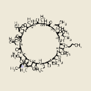 C/C=C/C[C@@H](C)[C@@H](O)[C@H]1C(=O)N[C@@H](CC)C(=O)N(C)[C@H](C)C(=O)N(C)[C@@H]([C@@H](C)OCCC)C(=O)N[C@@H](C(C)C)C(=O)N(C)[C@@H](CC(C)C)C(=O)N[C@@H](C)C(=O)N[C@H](C)C(=O)N(C)[C@@H](CC(C)C)C(=O)N(C)[C@@H](CC(C)C)C(=O)N(C)[C@@H](C(C)C)C(=O)N1C